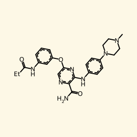 CCC(=O)Nc1cccc(Oc2cnc(C(N)=O)c(Nc3ccc(N4CCN(C)CC4)cc3)n2)c1